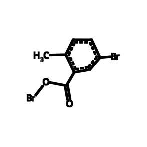 Cc1ccc(Br)cc1C(=O)OBr